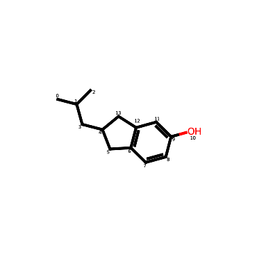 CC(C)CC1Cc2ccc(O)cc2C1